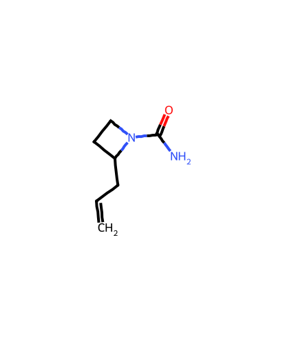 C=CCC1CCN1C(N)=O